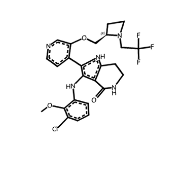 COc1c(Cl)cccc1Nc1c(-c2ccncc2OC[C@H]2CCN2CC(F)(F)F)[nH]c2c1C(=O)NCC2